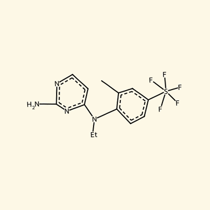 CCN(c1ccnc(N)n1)c1ccc(S(F)(F)(F)(F)F)cc1C